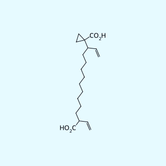 C=CC(CCCCCCCCCC(C=C)C1(C(=O)O)CC1)C(=O)O